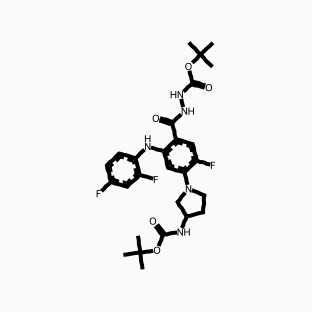 CC(C)(C)OC(=O)NNC(=O)c1cc(F)c(N2CCC(NC(=O)OC(C)(C)C)C2)cc1Nc1ccc(F)cc1F